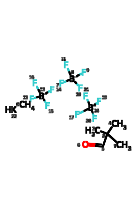 C.CC(C)(C)C=O.F[B-](F)(F)F.F[B-](F)(F)F.F[B-](F)(F)F.[KH]